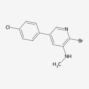 CNc1cc(-c2ccc(Cl)cc2)cnc1Br